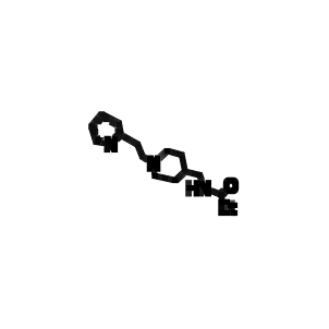 CCC(=O)NCC1CCN(CCc2ccccn2)CC1